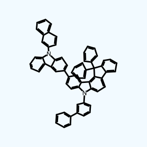 c1ccc(-c2cccc(-n3c4ccc(-c5ccc6c(c5)c5ccccc5n6-c5ccc6ccccc6c5)cc4c4c5c(ccc43)-c3ccccc3C5(c3ccccc3)c3ccccc3)c2)cc1